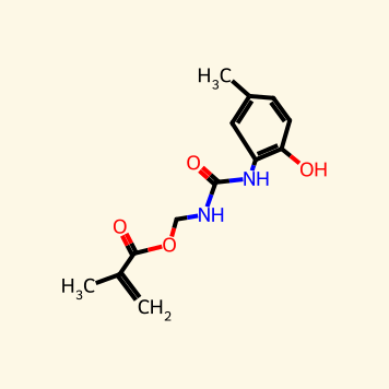 C=C(C)C(=O)OCNC(=O)Nc1cc(C)ccc1O